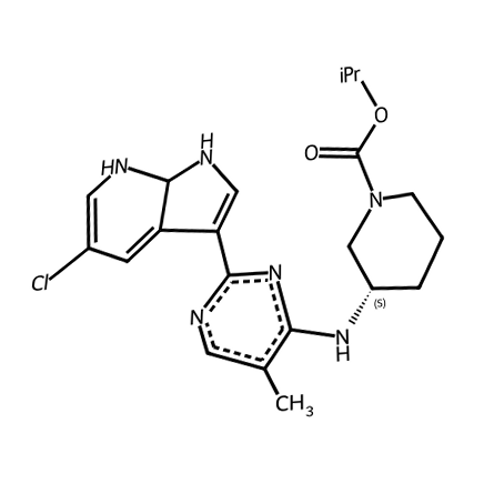 Cc1cnc(C2=CNC3NC=C(Cl)C=C23)nc1N[C@H]1CCCN(C(=O)OC(C)C)C1